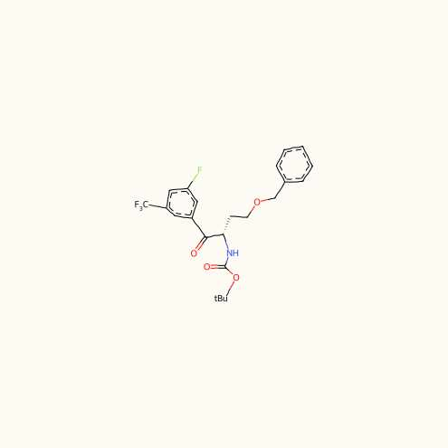 CC(C)(C)OC(=O)N[C@@H](CCOCc1ccccc1)C(=O)c1cc(F)cc(C(F)(F)F)c1